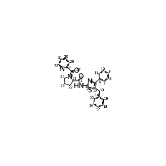 O=C(Nc1nc(-c2ccccc2)c(Cc2ccccc2)s1)C1CCCN1C(=O)c1ccccn1